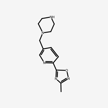 Cc1noc(-c2ccc(CN3CCNCC3)cn2)n1